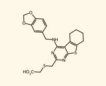 O=C(O)CSCc1nc(NCc2ccc3c(c2)OCO3)c2c3c(sc2n1)CCCC3